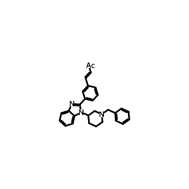 CC(=O)/C=C/c1cccc(-c2nc3ccccc3n2C2CCCN(Cc3ccccc3)C2)c1